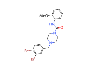 COc1ccccc1NC(=O)N1CCN(Cc2ccc(Br)c(Br)c2)CC1